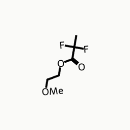 COCCOC(=O)C(C)(F)F